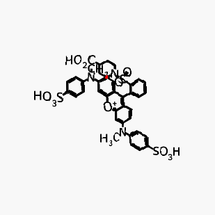 CN(c1ccc(S(=O)(=O)O)cc1)c1ccc2c(-c3ccccc3S(=O)(=O)N3CCC(C(=O)O)CC3)c3ccc(N(C)c4ccc(S(=O)(=O)O)cc4)cc3[o+]c2c1